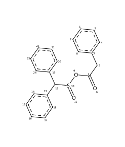 O=C(Cc1ccccc1)OS(=O)C(c1ccccc1)c1ccccc1